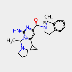 CC(N1CCCC1)n1c(C2CC2)cc(C(=O)N2CCc3ccccc3[C@H]2C)nc1=N